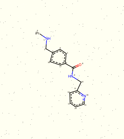 CC(C)NCc1ccc(C(=O)NCc2ccccn2)cc1